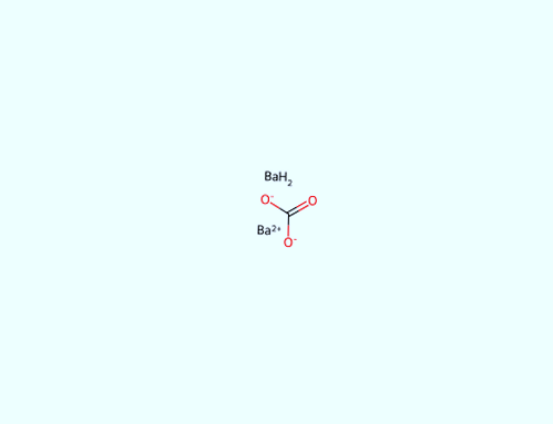 O=C([O-])[O-].[Ba+2].[BaH2]